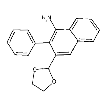 Nc1c(-c2ccccc2)c(C2OCCO2)cc2ccccc12